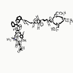 CCC(=O)NCCNC(=O)/N=C(/N)NCCC[C@@H](NC(=O)[C@H](c1ccccc1)N1Cc2cccc(NCCCNC(=O)C[C@H]3NC(=O)[C@@H](CCCNC(=O)CN4CCN(CC(=O)O)CCN(CC(=O)O)CCN(CC(=O)O)CC4)NC3=O)c2C1)C(=O)NCc1c(F)cc(O)cc1F